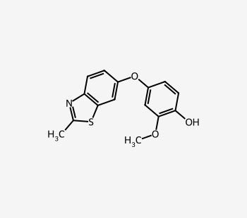 COc1cc(Oc2ccc3nc(C)sc3c2)ccc1O